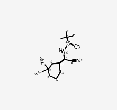 CC(C)(C)[S+]([O-])NC(C#N)C1CCCC(F)(F)C1